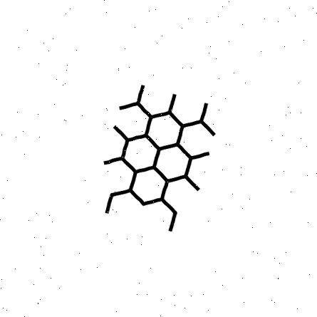 CCC1CC(CC)C2C(C)C(C)C3C(C(C)C)C(C)C(C(C)C)C4C(C)C(C)C1C2C43